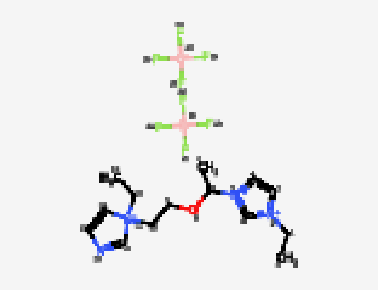 CC[n+]1ccn(C(C)OCC[N+]2(CC)C=CN=C2)c1.F[B-](F)(F)F.F[B-](F)(F)F